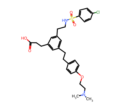 CN(C)CCOc1ccc(CCc2cc(CCNS(=O)(=O)c3ccc(Cl)cc3)cc(CCC(=O)O)c2)cc1